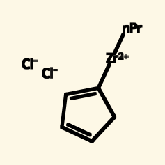 CC[CH2][Zr+2][C]1=CC=CC1.[Cl-].[Cl-]